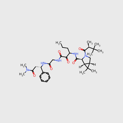 CCCC(NC(=O)[C@@H]1[C@@H]2[C@H](CN1C(=O)[C@@H](C)C(C)(C)C)C2(C)C)C(=O)C(=O)NCC(=O)N[C@@H](CC(=O)N(C)C)c1ccccc1